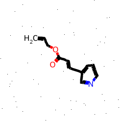 C=CCOC(=O)C=Cc1cccnc1